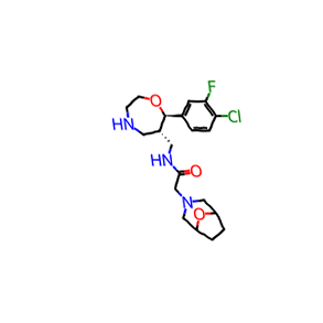 O=C(CN1CC2CCC(C1)O2)NC[C@@H]1CNCCO[C@H]1c1ccc(Cl)c(F)c1